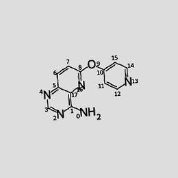 Nc1ncnc2ccc(Oc3ccncc3)nc12